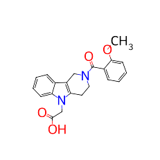 COc1ccccc1C(=O)N1CCc2c(c3ccccc3n2CC(=O)O)C1